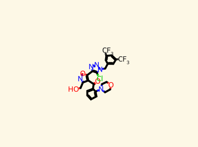 O=C(c1ccccc1N1CCOCC1)c1c(CO)noc1-c1nnn(Cc2cc(C(F)(F)F)cc(C(F)(F)F)c2)c1Cl